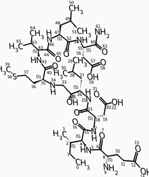 CC[C@H](C)[C@H](NC(=O)[C@@H](N)CCC(=O)O)C(=O)N[C@@H](CC(=O)O)C(=O)N[C@@H](CC(C)C)[C@@H](O)CN[C@@H](CCSC)C(=O)N[C@H](C(=O)N[C@@H](CC(C)C)C(=O)N[C@@H](CC(=O)O)C(N)=O)C(C)C